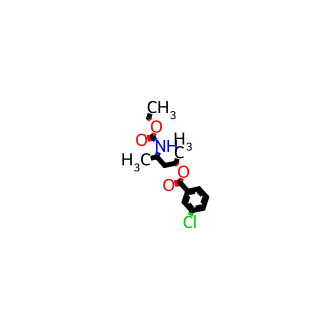 CCOC(=O)NC(C)CC(C)OC(=O)c1cccc(Cl)c1